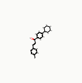 Cc1ccc(C=CC(=O)c2ccc(C3CCCCC3)cc2)cc1